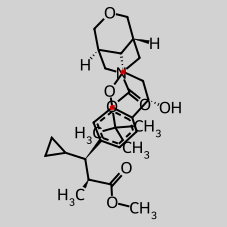 COC(=O)[C@@H](C)[C@H](c1ccc2c(c1)O[C@H](C1[C@@H]3COC[C@@H]1CN(C(=O)OC(C)(C)C)C3)C[C@@H]2O)C1CC1